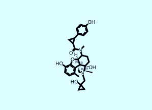 Cc1ccc(O)c2c1[C@]13CCN(CC4(O)CC4)[C@H](C)[C@]1(O)CCC(N(C)C(=O)C1CC1c1ccc(O)cc1)[C@@H]3O2